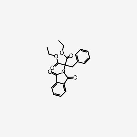 CCOC(=O)C(Cc1ccccc1)(C(=O)OCC)N1C(=O)c2ccccc2C1=O